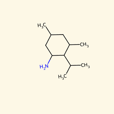 CC1CC(C)C(C(C)C)C(N)C1